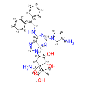 NC(=O)[C@]1(C2(C(=O)O)CC2)C[C@@H](n2cnc3c(NCC(c4ccccc4)c4ccccc4)nc(N4CC[C@@H](N)C4)nc32)[C@H](O)[C@@H]1O